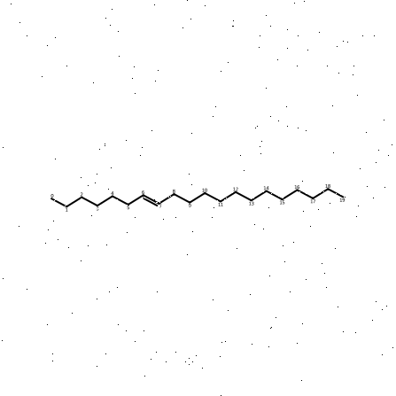 CCCCCC/[C]=C/CCCCCCCCCCCC